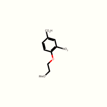 COCCOc1ccc(C(=O)O)cc1[N+](=O)[O-]